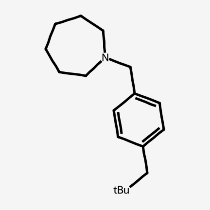 CC(C)(C)Cc1ccc(CN2CCCCCC2)cc1